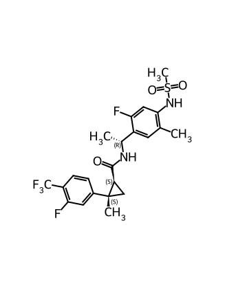 Cc1cc([C@@H](C)NC(=O)[C@H]2C[C@]2(C)c2ccc(C(F)(F)F)c(F)c2)c(F)cc1NS(C)(=O)=O